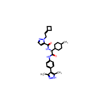 Cc1n[nH]c(C)c1-c1ccc(NC(=O)[C@@H](NC(=O)c2ccnn2CC=C2CCC2)C2CCC(C)CC2)cc1